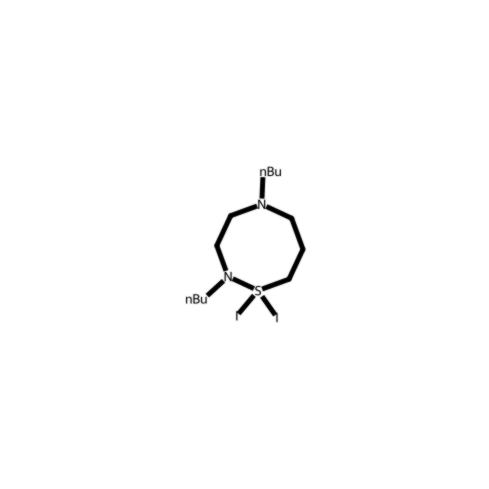 CCCCN1CCCS(I)(I)N(CCCC)CC1